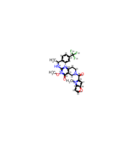 COn1c(NC(C)c2ccc(C(F)(F)F)cc2)nc2c(c1=O)CN(C(=O)c1cc3occc3n1C)CC2